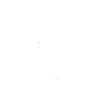 NCc1ccc2c(c1)C(Cc1ccccc1)=NC2=O